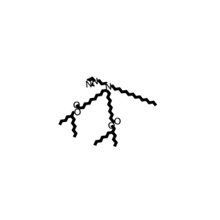 CCCCCCCCCCCCCCN(CCCn1ccnc1)C(CCCCCCCCC(=O)OCC(CCCC)CCCCCC)CCCCCCCCC(=O)OCC(CCCC)CCCCCC